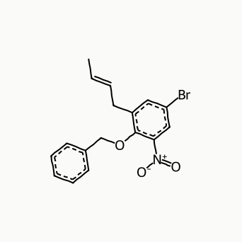 CC=CCc1cc(Br)cc([N+](=O)[O-])c1OCc1ccccc1